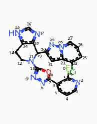 Fc1ncccc1-c1nnc(N2CCc3[nH]cnc3C2c2cc3c(Cl)cccn3n2)o1